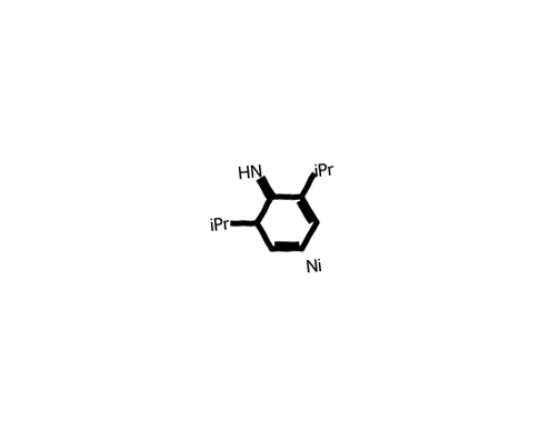 CC(C)C1=CC=CC(C(C)C)C1=N.[Ni]